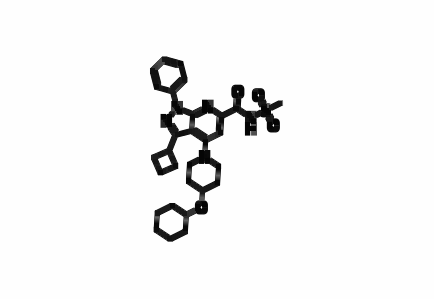 CS(=O)(=O)NC(=O)c1cc(N2CCC(OC3CCCCC3)CC2)c2c(C3CCC3)nn(-c3ccccc3)c2n1